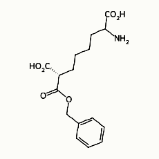 NC(CCCC[C@@H](C(=O)O)C(=O)OCc1ccccc1)C(=O)O